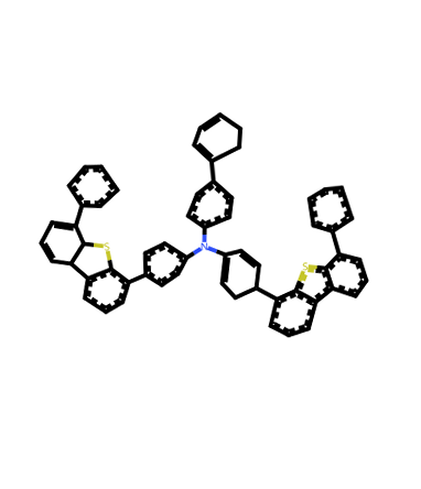 C1=CCCC(c2ccc(N(C3=CCC(c4cccc5c4sc4c(-c6ccccc6)cccc45)C=C3)c3ccc(-c4cccc5c4SC4C(c6ccccc6)=CC=CC54)cc3)cc2)=C1